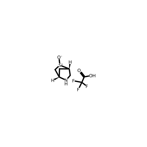 O=C(O)C(F)(F)F.[O-][S+]1C[C@@H]2C[C@H]1CN2